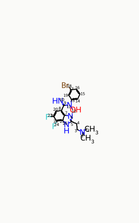 CN(C)CCc1nc2c(C(=N)N(O)c3cccc(Br)c3)cc(F)c(F)c2[nH]1